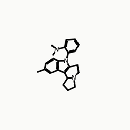 Cc1ccc2c(c1)c1c(n2-c2ccccc2N(C)C)CCN2CCCC12